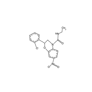 CCNC(=O)N1CC(c2ccccc2Cl)Oc2cc([N+](=O)[O-])ccc21